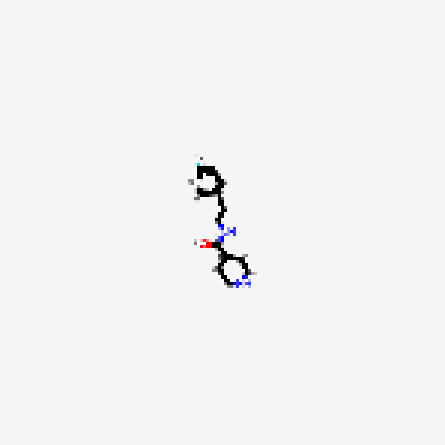 O=C(NCCc1ccc(F)cc1)C1CCNCC1